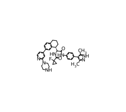 Cc1n[nH]c(C)c1-c1ccc(NC(=O)C(NC(=O)C2(F)CC2)[C@@H]2CCCc3ccc(-c4ccnc(N5CCNCC5)c4)cc32)cc1